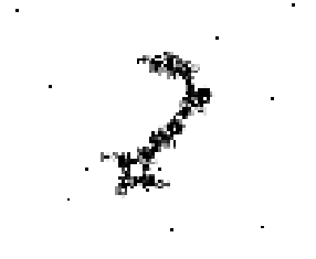 O=C(O)CC[C@H](NC(=O)N[C@@H](CCCCNC(=O)[C@H](Cc1ccccc1)NC(=O)COc1ccc(C[C@H](NC(=O)CNC(=O)CN2CCN(CC(=O)O)CCN(CC(=O)O)CCN(CC(=O)O)CC2)C(=O)O)cc1)C(=O)O)C(=O)O